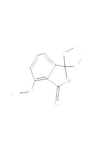 CCCOc1cccc2c1C(=N)NC2(OCC)OCC